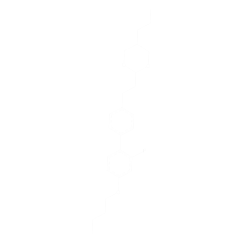 CCCCOc1ccc(-c2ccc(CCC3OCC(CCC)CO3)cc2)c(F)c1